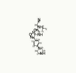 CC(C)C[C@H](Nc1nonc1-c1ccc(N2CCNCC2)cc1)C(=O)NCC#N